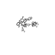 Cc1nn(COCC[Si](C)(C)C)c2c1N=C(c1c(F)cccc1F)Nc1c-2cc(N2CCOCC2)nc1C(F)F